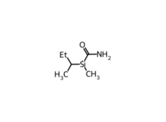 CCC(C)[Si](C)C(N)=O